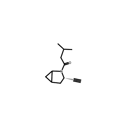 C#C[C@@H]1CC2CC2N1C(=O)CC(C)C